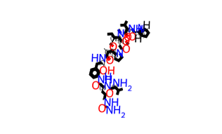 CC[C@H](C)[C@@H]([C@@H](CC(=O)N1CCC[C@H]1[C@H](OC)[C@@H](C)C(=O)N[C@H](CO)Cc1cccc(NC(=O)[C@H](CCCNC(N)=O)NC(=O)[C@@H](N)C(C)C)c1)OC)N(C)C(=O)[C@@H](NC(=O)[C@@H]1[C@H]2CC[C@H](C2)N1C)C(C)C